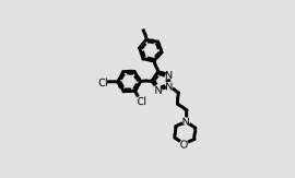 Cc1ccc(-c2nn(CCCN3CCOCC3)nc2-c2ccc(Cl)cc2Cl)cc1